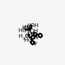 CN(C)CC1CC2(CCC1(O)c1cccc(F)c1)OCCc1c2sc2ccccc12.O=C(O)CC(O)(CC(=O)O)C(=O)O